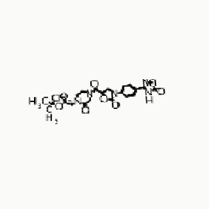 CC(C)(C)OC(=O)CN1CCN(C(=O)C2CN(c3ccc(-c4noc(=O)[nH]4)cc3)C(=O)O2)CC1=O